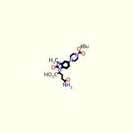 Cn1c(=O)n(C(CCC(N)=O)C(=O)O)c2ccc(N3CCN(C(=O)OC(C)(C)C)CC3)cc21